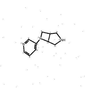 c1cncc(N2CC3CNCC32)c1